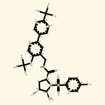 C[C@H]1[C@H](F)C[C@@H](C(=O)NCc2cc(-c3cnc(C(F)(F)F)nc3)ncc2OC(F)(F)F)N1S(=O)(=O)c1ccc(F)cn1